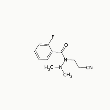 CN(C)N(CCC#N)C(=O)c1ccccc1F